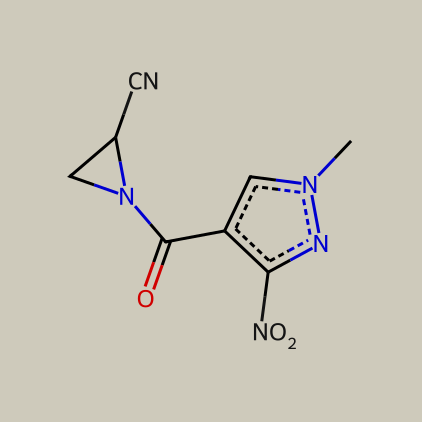 Cn1cc(C(=O)N2CC2C#N)c([N+](=O)[O-])n1